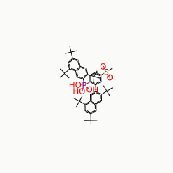 CC(C)(C)c1cc(C(C)(C)C)c2cc(-c3cc(S(C)(=O)=O)ccc3P(O)(O)(O)c3cc4c(C(C)(C)C)cc(C(C)(C)C)cc4cc3C(C)(C)C)c(C(C)(C)C)cc2c1